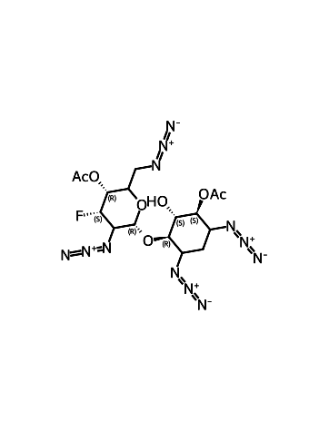 CC(=O)O[C@@H]1C(CN=[N+]=[N-])O[C@H](O[C@@H]2C(N=[N+]=[N-])CC(N=[N+]=[N-])[C@H](OC(C)=O)[C@H]2O)C(N=[N+]=[N-])[C@@H]1F